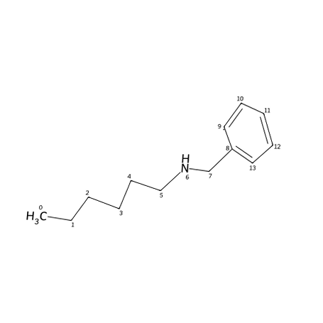 CCCCCCNCc1[c]cccc1